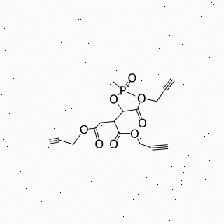 C#CCOC(=O)CC(C(=O)OCC#C)C(OP(C)(C)=O)C(=O)OCC#C